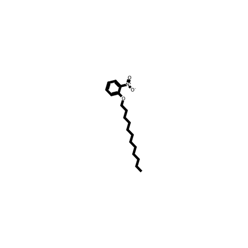 CCCCCCCCCCCCOc1ccccc1[N+](=O)[O-]